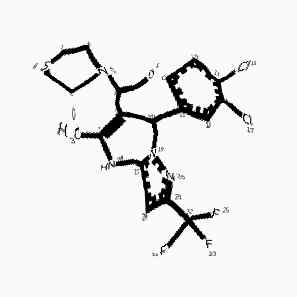 CC1=C(C(=O)N2CCSC2)C(c2ccc(Cl)c(Cl)c2)n2nc(C(F)(F)F)cc2N1